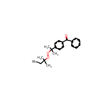 CC(C)(C)CC(C)(C)OOC(C)(C)c1ccc(C(=O)c2ccccc2)cc1